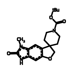 Cn1c(=O)[nH]c2cc3c(cc21)C1(CCN(C(=O)OC(C)(C)C)CC1)CO3